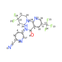 N#Cc1ccc(NC(=O)c2cc(C(F)(F)F)cnc2N2CCC(F)(F)CC2)cn1